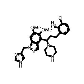 COc1cc2c(cnn2Cc2c[nH]cn2)c(C(CCc2cccc(Cl)c2C)N2CCNCC2)c1OC